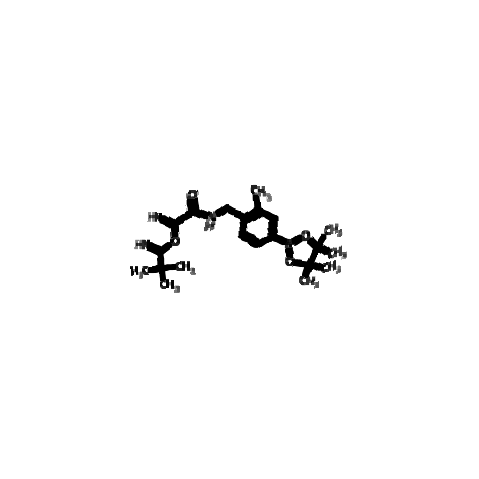 Cc1cc(B2OC(C)(C)C(C)(C)O2)ccc1CNC(=O)C(=N)OC(=N)C(C)(C)C